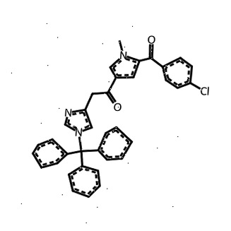 Cn1cc(C(=O)Cc2cn(C(c3ccccc3)(c3ccccc3)c3ccccc3)cn2)cc1C(=O)c1ccc(Cl)cc1